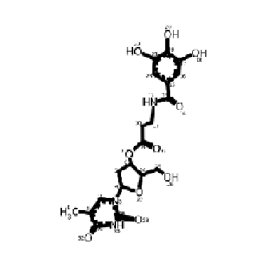 Cc1cn(C2CC(OC(=O)CCNC(=O)c3cc(O)c(O)c(O)c3)C(CO)O2)c(=O)[nH]c1=O